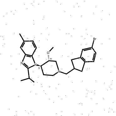 CO[C@@H]1CN(CC2Cc3ccc(Br)cc3C2)CC[C@H]1n1c(C(C)C)nc2cc(C)ccc21